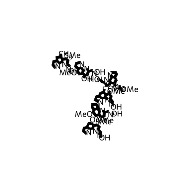 COCCOc1cc2cccnc2c2nc(C=NO)cc(OC)c12.COc1cc(C=NO)nc2c1c(F)cc1cccnc12.COc1cc2c(O)cc(C=NO)nc2c2ncccc12.COc1cc2c(SC)cc(C=NO)nc2c2ncccc12.COc1cc2cccnc2c2nc(C=NO)cc(SC)c12.CSc1cc(C=NO)nc2c1c(C)cc1cccnc12